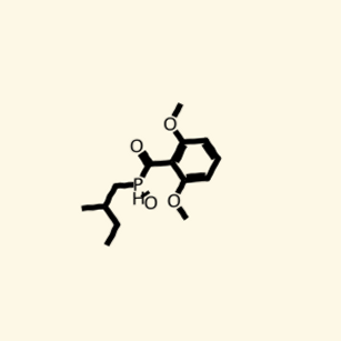 CCC(C)C[PH](=O)C(=O)c1c(OC)cccc1OC